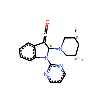 C[C@@H]1C[C@H](C)CN([C@@H]2C(=C=O)c3ccccc3N2c2ncccn2)C1